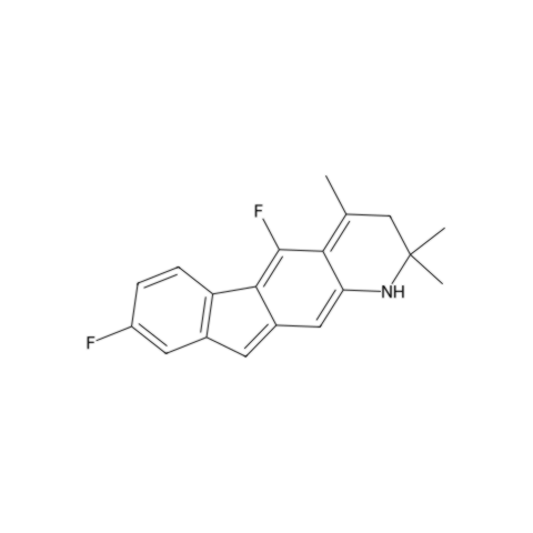 CC1=c2c(cc3c(c2F)-c2ccc(F)cc2C=3)NC(C)(C)C1